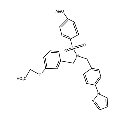 COc1ccc(S(=O)(=O)N(Cc2ccc(-n3cccn3)cc2)Cc2cccc(OCC(=O)O)c2)cc1